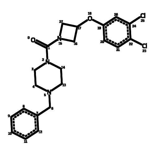 O=C(N1CCN(Cc2ccccc2)CC1)N1CC(Oc2ccc(Cl)c(Cl)c2)C1